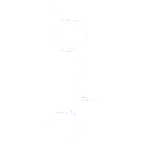 [CH2]c1ccc(CSC(=S)N(CC)CC)cc1